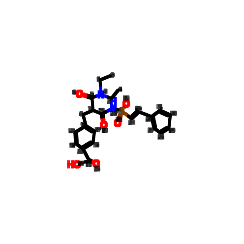 CCN(CC)C(=O)C(Cc1ccc(C(=O)O)cc1)C(=O)NS(=O)(=O)/C=C/c1ccccc1